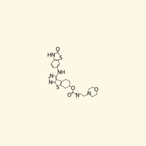 CN(CCN1CCOCC1)C(=O)OC1CCc2c(sc3ncnc(Nc4ccc5[nH]c(=O)sc5c4)c23)C1